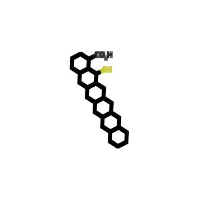 O=C(O)C1CCCC2CC3CC4CC5CC6CCCCC6CC5CC4CC3C(S)C21